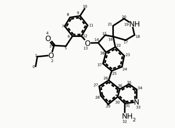 CCOC(=O)Cc1ccc(C)cc1OC1CC2(CCNCC2)c2ccc(-c3cccc4c(N)nccc34)cc21